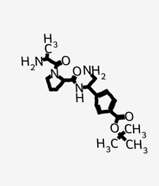 CC(N)C(=O)N1CCCC1C(=O)NC(CN)c1ccc(C(=O)OC(C)(C)C)cc1